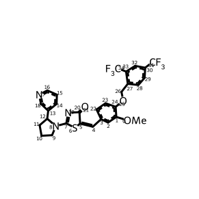 COc1cc(C=C2SC(N3CCCC3c3cccnc3)=NC2=O)ccc1OCc1ccc(C(F)(F)F)cc1C(F)(F)F